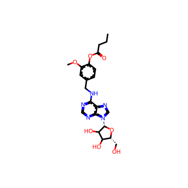 CCCC(=O)Oc1ccc(CNc2ncnc3c2ncn3[C@@H]2O[C@H](CO)C(O)C2O)cc1OC